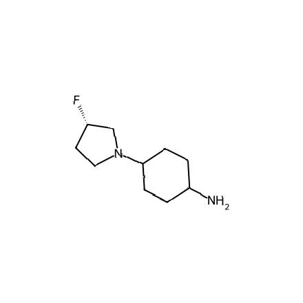 NC1CCC(N2CC[C@H](F)C2)CC1